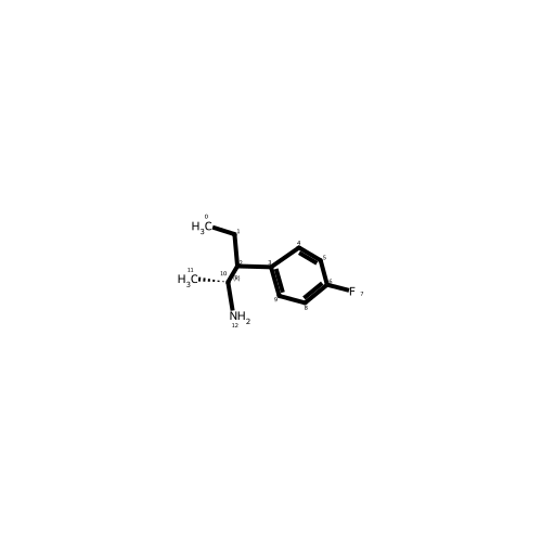 CCC(c1ccc(F)cc1)[C@@H](C)N